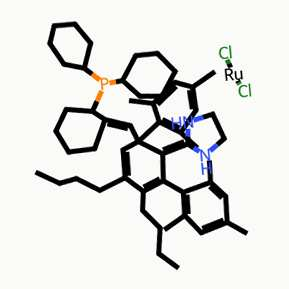 CCCCC1=CC(C=C2CCCCC2P(C2CCCCC2)C2CCCCC2)(c2c(C)cc(C)cc2C)C(=C2NCCN2)C(c2c(C)cc(C)cc2C)=C1CCCC.[Cl][Ru][Cl]